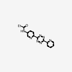 CCC(=O)Nc1ccc(-c2nnc(-c3ccccn3)nn2)nc1